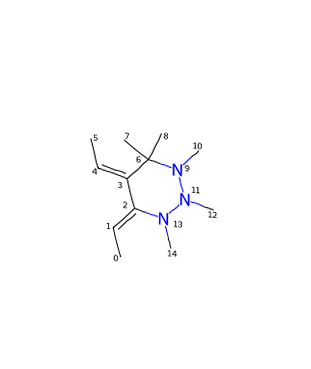 CC=C1C(=CC)C(C)(C)N(C)N(C)N1C